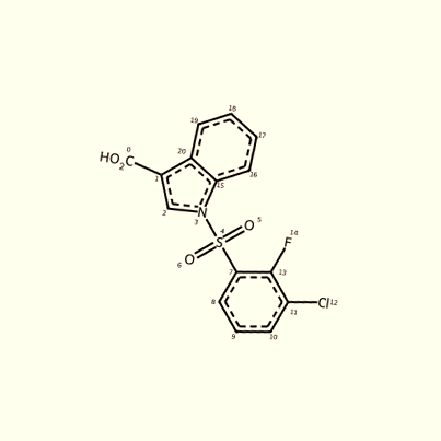 O=C(O)c1cn(S(=O)(=O)c2cccc(Cl)c2F)c2ccccc12